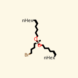 CCCCCC/C=C\CCCCO[Si](C)(CCCCBr)OCCCC/C=C\CCCCCC